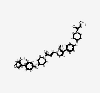 C=CC(=O)N1CCC(Oc2ccc(-c3cn[n+](/C=C/C(=O)N4CCC(Oc5ccc(-c6conc6C)cc5)CC4)n3C)cc2)CC1